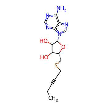 CCC#CCSC[C@H]1O[C@@H](n2cnc3c(N)ncnc32)C(O)C1O